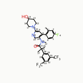 Cc1cc(F)ccc1-c1cc(N2CCC(O)CC2)ncc1N(C)C(=O)C(C)(C)c1cc(C(F)(F)F)cc(C(F)(F)F)c1